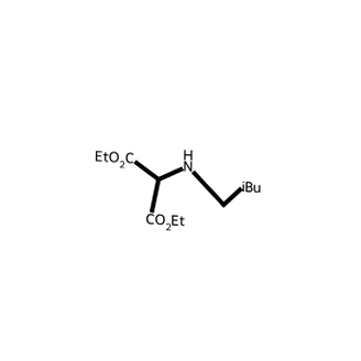 CCOC(=O)C(NCC(C)CC)C(=O)OCC